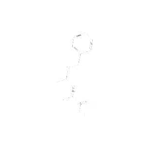 C/C(=C\C(C)NCc1ccccc1)C(=O)O